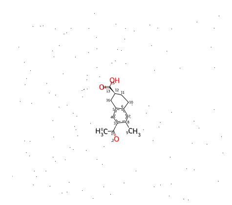 CC(=O)c1cc2c(cc1C)CC[C@H](C(=O)O)C2